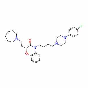 O=C1C(CCN2CCCCCC2)Oc2ccccc2N1CCCCN1CCN(c2ccc(F)cc2)CC1